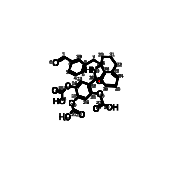 O=Cc1cccc(C[C@@]2(NC(=O)c3cc(OC(=O)O)c(OC(=O)O)cc3OC(=O)O)CCCc3ccccc32)c1